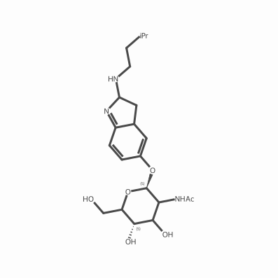 CC(=O)NC1C(O)[C@H](O)C(CO)O[C@H]1OC1=CC2CC(NCCC(C)C)N=C2C=C1